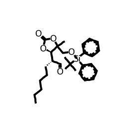 CCCCCC[C@@H](C=O)[C@H]1OC(=O)OC1(C)CO[Si](c1ccccc1)(c1ccccc1)C(C)(C)C